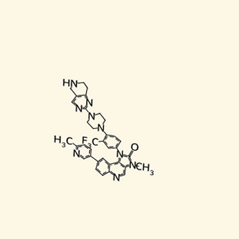 Cc1ccc(-c2ccc3ncc4c(c3c2)n(-c2ccc(N3CCN(c5ncc6c(n5)CCNC6)CC3)c(C(F)(F)F)c2)c(=O)n4C)cn1